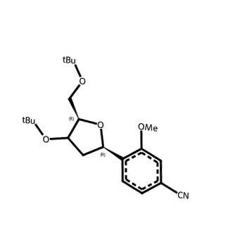 COc1cc(C#N)ccc1[C@H]1CC(OC(C)(C)C)[C@@H](COC(C)(C)C)O1